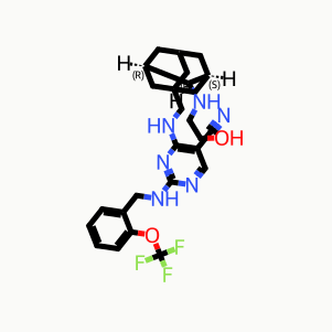 N#Cc1cnc(NCc2ccccc2OC(F)(F)F)nc1NCC12CC3C[C@H](C1)[C@H](NCCO)[C@@H](C3)C2